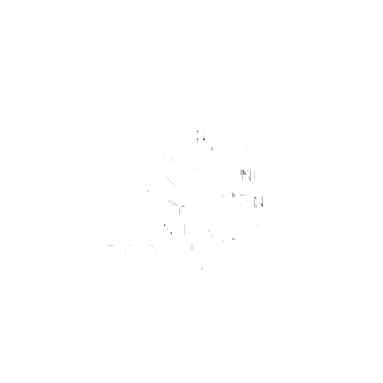 CCOC(=O)[C@H](Cc1ccc(-c2cccc(N(C)C(=O)Nc3ccc(N(C)C)cc3)c2)cc1)Nc1ccccc1C(=O)c1ccccc1